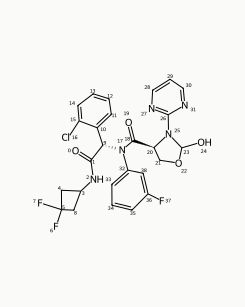 O=C(NC1CC(F)(F)C1)[C@H](c1ccccc1Cl)N(C(=O)[C@@H]1COC(O)N1c1ncccn1)c1cccc(F)c1